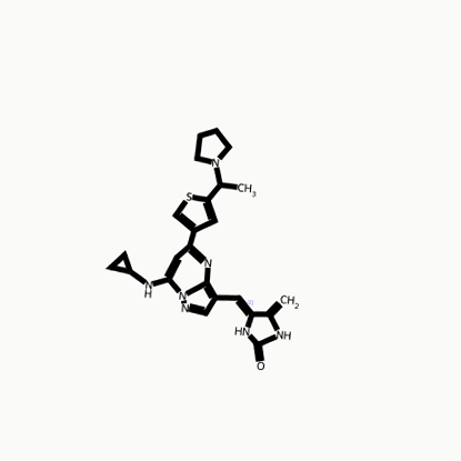 C=c1[nH]c(=O)[nH]/c1=C\c1cnn2c(NC3CC3)cc(-c3csc(C(C)N4CCCC4)c3)nc12